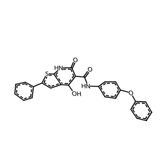 O=C(Nc1ccc(Oc2ccccc2)cc1)c1c(O)c2cc(-c3ccccc3)sc2[nH]c1=O